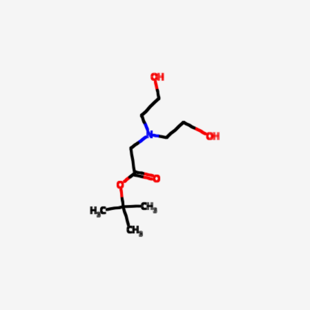 CC(C)(C)OC(=O)CN(CCO)CCO